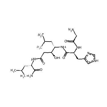 CC(C)C[C@H](NC(=O)C[C@H](O)[C@H](CC(C)C)NC(=O)[C@H](Cc1c[nH]cn1)NC(=O)CN)C(N)=O